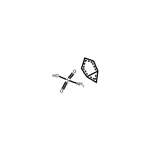 NS(=O)(=O)O.c1cc2cc-2c1